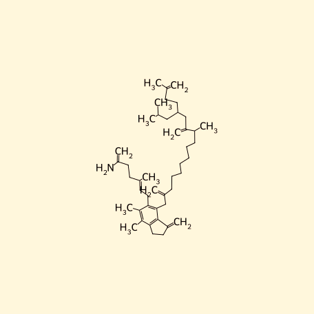 C=C(C)CCC(CC(=C)C(C)CCCCCCCC(=C)Cc1c(C/C=C(\C)CCC(=C)N)c(C)c(C)c2c1C(=C)CC2)CC(C)C